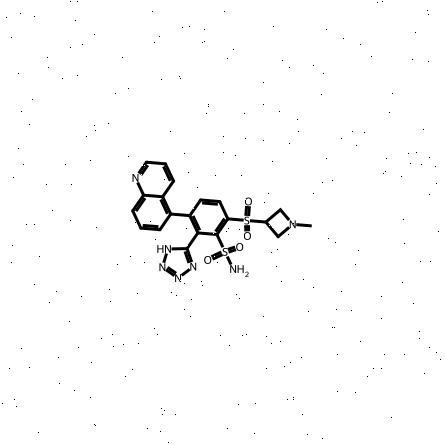 CN1CC(S(=O)(=O)c2ccc(-c3cccc4ncccc34)c(-c3nnn[nH]3)c2S(N)(=O)=O)C1